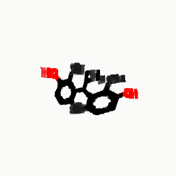 CC(c1c(C(C)(C)C)ccc(O)c1C(C)(C)C)c1c(C(C)(C)C)ccc(O)c1C(C)(C)C